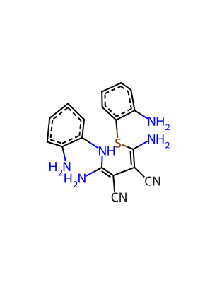 N#CC(=C(N)Nc1ccccc1N)C(C#N)=C(N)Sc1ccccc1N